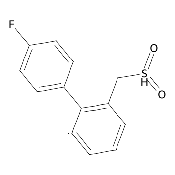 O=[SH](=O)Cc1ccc[c]c1-c1ccc(F)cc1